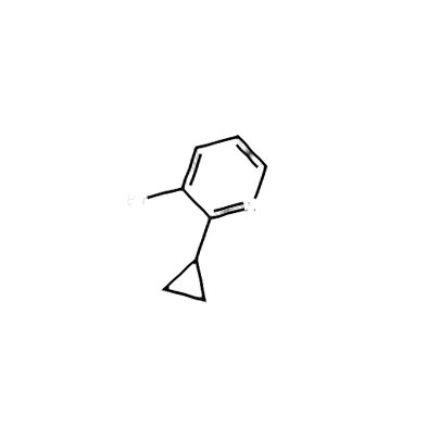 CCC(C)c1cccnc1C1CC1